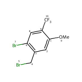 COc1cc(CBr)c(Br)cc1C(F)(F)F